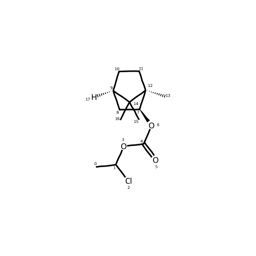 CC(Cl)OC(=O)O[C@H]1C[C@H]2CC[C@]1(C)C2(C)C